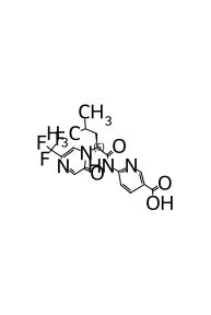 CC(C)C[C@@H](C(=O)Nc1ccc(C(=O)O)cn1)n1cc(C(F)(F)F)ncc1=O